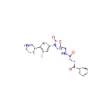 O=C(CCC(=O)c1ccccc1)NC[C@H]1CN(c2ccc(C3CNCCS3)c(F)c2)C(=O)O1